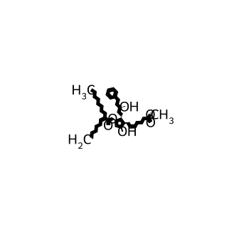 C=CCCCC/C=C(/CCCCCCCC)C(=O)O[C@@H]1C[C@H](O)[C@H](C/C=C\CCCC(=O)OC)[C@H]1CC[C@@H](O)CCc1ccccc1